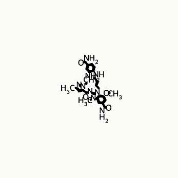 CCn1nc(C)cc1C(=O)/N=c1\n(C)c2cc(C(N)=O)cc(OC)c2n1C/C=C/CNc1ccc(C(N)=O)cc1N